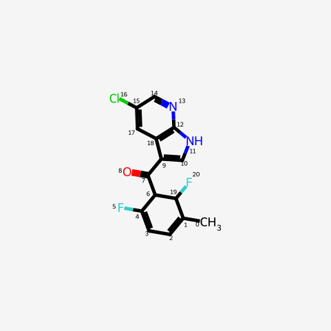 CC1=CC=C(F)C(C(=O)c2c[nH]c3ncc(Cl)cc23)C1F